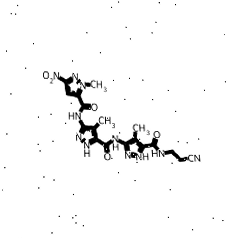 Cc1c(NC(=O)c2[nH]nc(NC(=O)c3cc([N+](=O)[O-])nn3C)c2C)n[nH]c1C(=O)NCCC#N